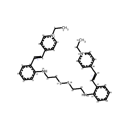 CC[n+]1ccc(/C=C/c2ccccc2NCCSSCCNc2ccccc2/C=C/c2cc[n+](CC)cc2)cc1